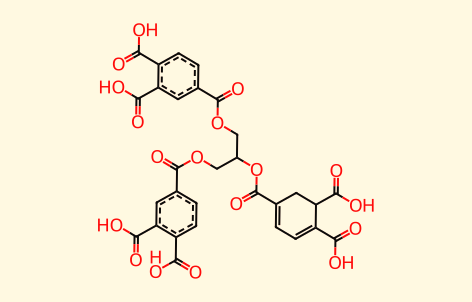 O=C(O)C1=CC=C(C(=O)OC(COC(=O)c2ccc(C(=O)O)c(C(=O)O)c2)COC(=O)c2ccc(C(=O)O)c(C(=O)O)c2)CC1C(=O)O